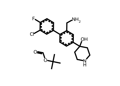 CC(C)(C)OC=O.NCc1cc(C2(O)CCNCC2)ccc1-c1ccc(F)c(Cl)c1